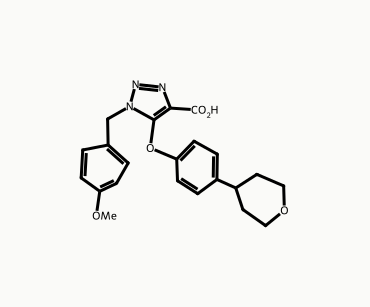 COc1ccc(Cn2nnc(C(=O)O)c2Oc2ccc(C3CCOCC3)cc2)cc1